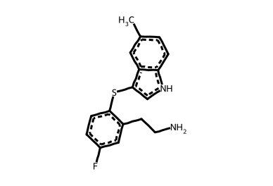 Cc1ccc2[nH]cc(Sc3ccc(F)cc3CCN)c2c1